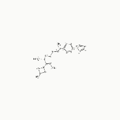 CCCCO[C@@H](C1OC(C)O1)[C@@H](OCCN[C@H](C)c1ccc(-n2cccn2)cc1)C(=O)OCC